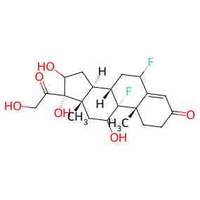 C[C@]12CCC(=O)C=C1C(F)C[C@H]1[C@@H]3CC(O)[C@](O)(C(=O)CO)[C@@]3(C)CC(O)[C@@]12F